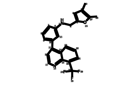 Cc1cc(CNc2cccc(-c3[c]cnc4c(C(F)(F)F)cccc34)c2)oc1C